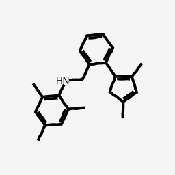 CC1=CC(C)=C(c2ccccc2CNc2c(C)cc(C)cc2C)C1